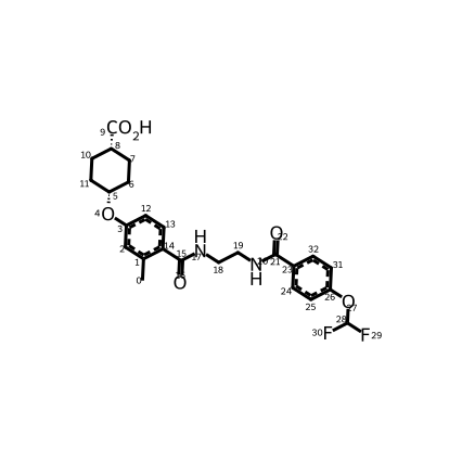 Cc1cc(O[C@H]2CC[C@@H](C(=O)O)CC2)ccc1C(=O)NCCNC(=O)c1ccc(OC(F)F)cc1